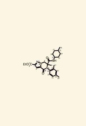 CCOC(=O)c1cc2n(n1)CC(C)(C(=O)NC1CCC(C)CC1)N(c1ccc(C)cc1C)C2=O